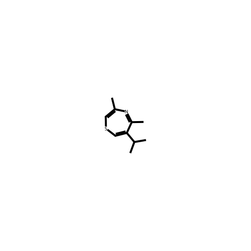 CC1=CSC=C(C(C)C)C(C)=N1